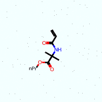 C=CC(=O)NC(C)(C)C(=O)OCCC